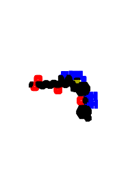 COC(=O)CCCCC(=O)c1cnc(N)c(-c2cc3cc(NC(=O)Nc4cccc(C)c4)ccc3s2)c1